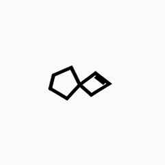 [C]1=CCC12CCCC2